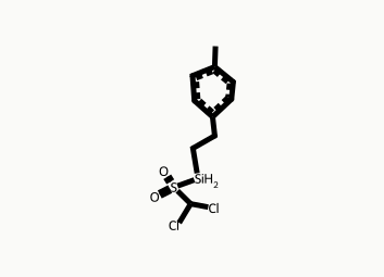 Cc1ccc(CC[SiH2]S(=O)(=O)C(Cl)Cl)cc1